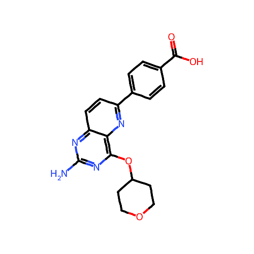 Nc1nc(OC2CCOCC2)c2nc(-c3ccc(C(=O)O)cc3)ccc2n1